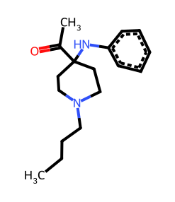 CCCCN1CCC(Nc2ccccc2)(C(C)=O)CC1